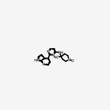 N#CC1(Nc2ccnc(-c3ccnc4[nH]ccc34)n2)CC[S+]([O-])CC1